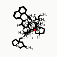 C=C1CN2CCCC2(COc2nc3c4c(nc(-c5cccc6cccc(C#C[Si](C(C)C)(C(C)C)C(C)C)c56)c(F)c4n2)O[C@@H](CCC)[C@@H]2[C@@H]4CC[C@H](CN32)N4C(=O)OC(C)(C)C)C1